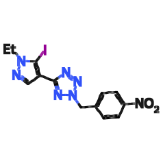 CCn1ncc(-c2nnn(Cc3ccc([N+](=O)[O-])cc3)n2)c1I